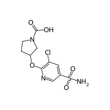 NS(=O)(=O)c1cnc(OC2CCN(C(=O)O)C2)c(Cl)c1